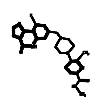 CNC(=O)c1ccc(N2CCN(Cc3cc(F)c4c(c3)[nH]c(=O)c3ccsc34)CC2)c(C)n1